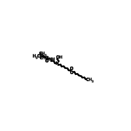 CCCCCCCCCOC(=O)CCCCCCCN(CCO)CCCNC(=O)OCC[Si](C)(C)C